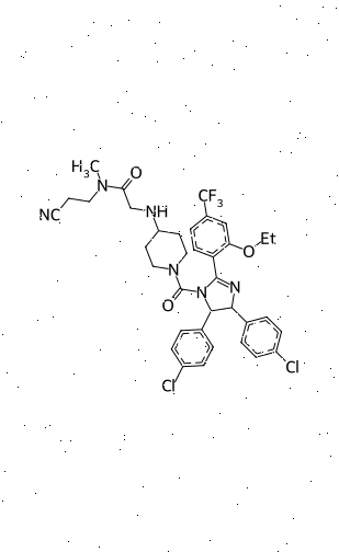 CCOc1cc(C(F)(F)F)ccc1C1=NC(c2ccc(Cl)cc2)C(c2ccc(Cl)cc2)N1C(=O)N1CCC(NCC(=O)N(C)CCC#N)CC1